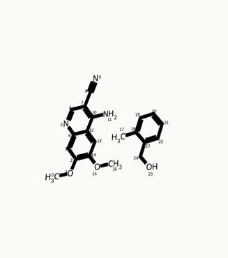 COc1cc2ncc(C#N)c(N)c2cc1OC.Cc1ccccc1CO